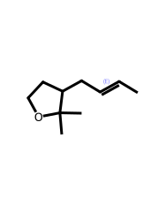 C/C=C/CC1CCOC1(C)C